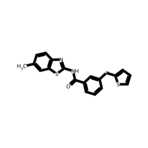 Cc1ccc2nc(NC(=O)c3cccc([I+]c4cccs4)c3)sc2c1